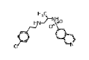 C[C@H](CNCCc1ccc(Cl)cc1)NS(=O)(=O)c1ccc2cnccc2c1